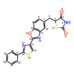 O=C1NC(=O)C(Cc2ccc3oc(-c4csc(-c5ccccc5)n4)nc3c2)S1